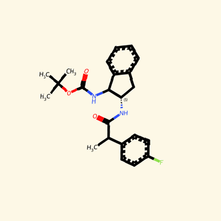 CC(C(=O)N[C@H]1Cc2ccccc2C1NC(=O)OC(C)(C)C)c1ccc(F)cc1